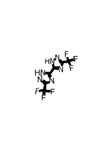 FC(F)(F)c1n[nH]c(-c2nc(C(F)(F)F)n[nH]2)n1